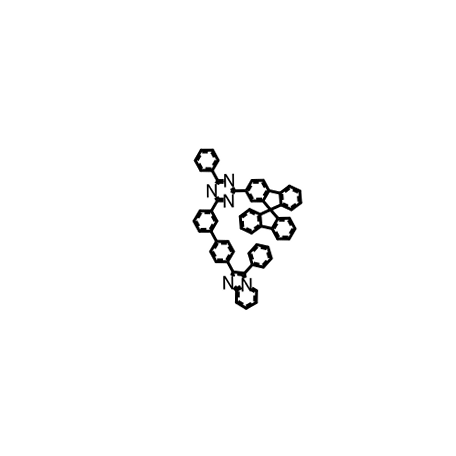 c1ccc(-c2nc(-c3cccc(-c4ccc(-c5nc6ccccn6c5-c5ccccc5)cc4)c3)nc(-c3ccc4c(c3)C3(c5ccccc5-c5ccccc53)c3ccccc3-4)n2)cc1